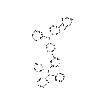 c1ccc(C(=C(c2ccccc2)c2cccc(-c3ccc(N(c4ccccc4)c4ccc5c(c4)oc4ccccc45)cc3)c2)c2ccccc2)cc1